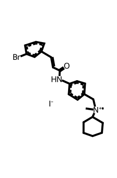 C[N+](C)(Cc1ccc(NC(=O)/C=C/c2cccc(Br)c2)cc1)C1CCCCC1.[I-]